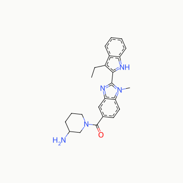 CCc1c(-c2nc3cc(C(=O)N4CCCC(N)C4)ccc3n2C)[nH]c2ccccc12